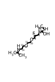 C/[SH]=C(/O)NCC(F)COCCOCCNC(C)C